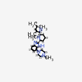 C=C/C=C(C)\C(=N/C)[C@H]1CCC[C@@H](c2nc3cccc(N4CCN(C)CC4)c3[nH]2)N1C